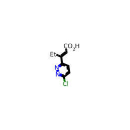 CC/C(=C\C(=O)O)c1ccc(Cl)nn1